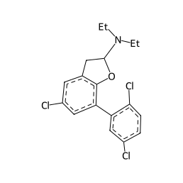 CCN(CC)C1Cc2cc(Cl)cc(-c3cc(Cl)ccc3Cl)c2O1